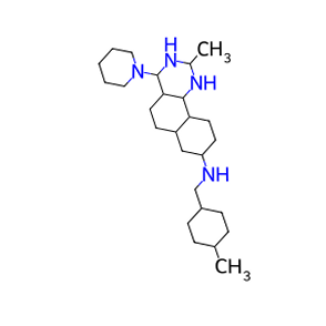 CC1CCC(CNC2CCC3C(CCC4C3NC(C)NC4N3CCCCC3)C2)CC1